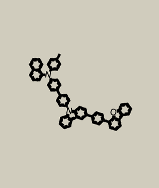 Cc1ccc(N(c2ccc(-c3ccc(-n4c5ccccc5c5cc(-c6ccc(-c7cccc8c7oc7ccccc78)cc6)ccc54)cc3)cc2)c2cccc3ccccc23)cc1